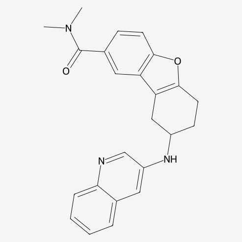 CN(C)C(=O)c1ccc2oc3c(c2c1)CC(Nc1cnc2ccccc2c1)CC3